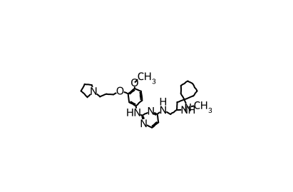 COc1ccc(Nc2nccc(NCC3CC4(CCCCCC4)N(C)N3)n2)cc1OCCCN1CCCC1